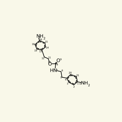 Nc1ccc(CCNC(=O)OCCc2ccc(N)cc2)cc1